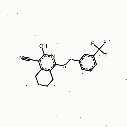 N#Cc1c(O)nc(SCc2cccc(C(F)(F)F)c2)c2c1CCCC2